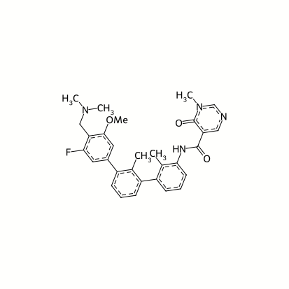 COc1cc(-c2cccc(-c3cccc(NC(=O)c4cncn(C)c4=O)c3C)c2C)cc(F)c1CN(C)C